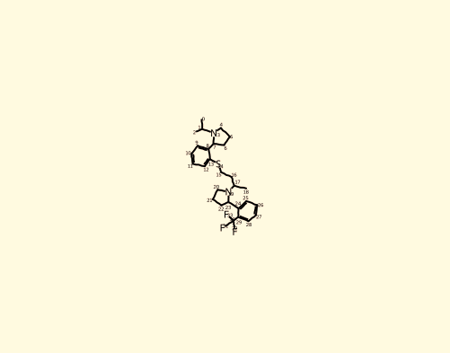 CC(C)N1CCCC1c1ccccc1SCCC(C)N1CCCC1c1ccccc1C(F)(F)F